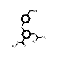 COC(=O)c1cc(Oc2ccc(CO)cc2)cc(OC(C)C)c1